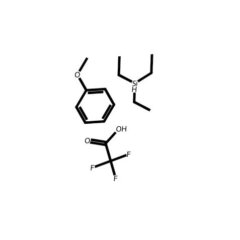 CC[SiH](CC)CC.COc1ccccc1.O=C(O)C(F)(F)F